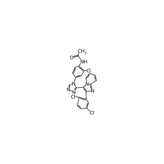 CC(=O)Nc1ccc(-n2cnnc2-c2c(-c3cc(Cl)ccc3Cl)nc3ccccn23)cc1Cl